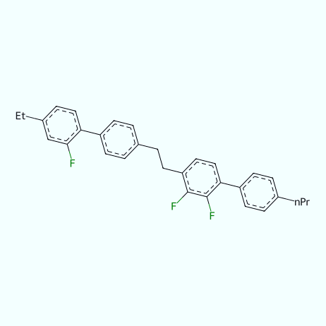 CCCc1ccc(-c2ccc(CCc3ccc(-c4ccc(CC)cc4F)cc3)c(F)c2F)cc1